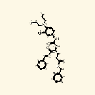 O=C(Nc1ccc(N(CCCl)CCCl)c(Cl)c1)N[C@@H](CCC(=O)OCc1ccccc1)C(=O)OCc1ccccc1